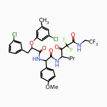 COc1ccc(C(NC(=O)C(Cc2cccc(Cl)c2)Oc2cc(C)cc(Cl)c2)C(=O)NC(C(=O)C(F)(F)C(=O)NCC(F)(F)F)C(C)C)cc1